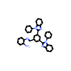 Nc1ccccc1/N=C/c1cc(-c2nc3ccccc3n2-c2ccccc2)cc(-c2nc3ccccc3n2-c2ccccc2)c1